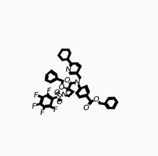 O=C(OCc1ccccc1)c1ccc(N(Cc2ccc(C3CCCCC3)nc2)C(=O)[C@]2(OCc3ccccc3)CCN2S(=O)(=O)c2c(F)c(F)c(F)c(F)c2F)cc1